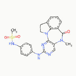 CN1C(=O)c2cccc3c2N(CC3)c2nc(Nc3ccc(NS(C)(=O)=O)cc3)ncc21